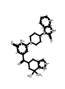 CC1(C)CC(C(=O)c2cc(N3CCC(n4c(=O)[nH]c5ncccc54)CC3)[nH]c(=O)c2)Cc2cn[nH]c21